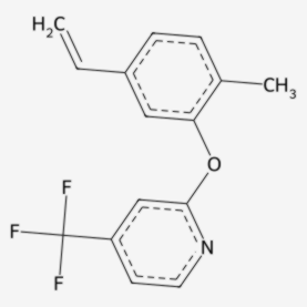 C=Cc1ccc(C)c(Oc2cc(C(F)(F)F)ccn2)c1